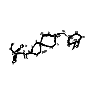 CCS(=O)(=O)NC1CCC2(CC1)CCN(C[C@@H]1CCNC1)CC2